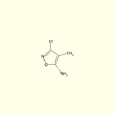 CCc1noc(N)c1C